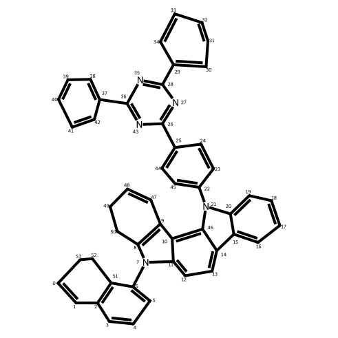 C1=Cc2cccc(-n3c4c(c5c3ccc3c6ccccc6n(-c6ccc(-c7nc(-c8ccccc8)nc(-c8ccccc8)n7)cc6)c35)C=CCC4)c2CC1